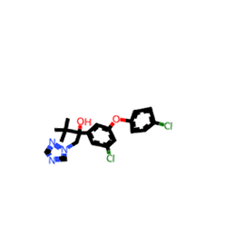 CC(C)(C)C(O)(Cn1cncn1)c1cc(Cl)cc(Oc2ccc(Cl)cc2)c1